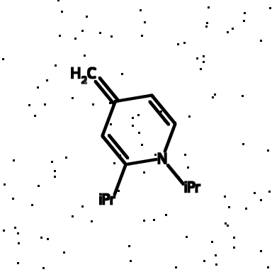 C=C1C=CN(C(C)C)C(C(C)C)=C1